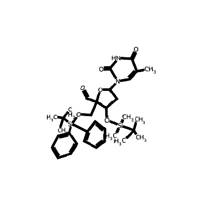 Cc1cn(C2CC(O[Si](C)(C)C(C)(C)C)C(C=O)(CO[Si](c3ccccc3)(c3ccccc3)C(C)(C)C)O2)c(=O)[nH]c1=O